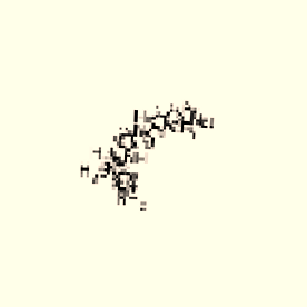 CCN1CCN(Cc2ccc(C(=O)Nc3ccc(C)c(Nc4nn(C)c5nc(N)ncc45)c3)cc2C(F)(F)F)CC1